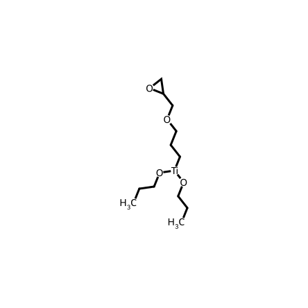 CCC[O][Ti]([CH2]CCOCC1CO1)[O]CCC